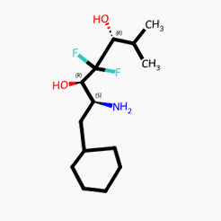 CC(C)[C@@H](O)C(F)(F)[C@H](O)[C@@H](N)CC1CCCCC1